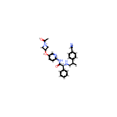 CC(=O)N1CC(Oc2ccc(NC(=O)[C@@H](NCC(C)c3ccc(C#N)cc3)c3ccccc3)nc2)C1